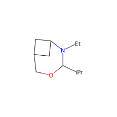 CCN1C2CC(COC1C(C)C)C2